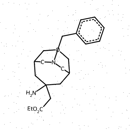 CCOC(=O)CC1(N)CC2COCC(CN(Cc3ccccc3)C2)C1